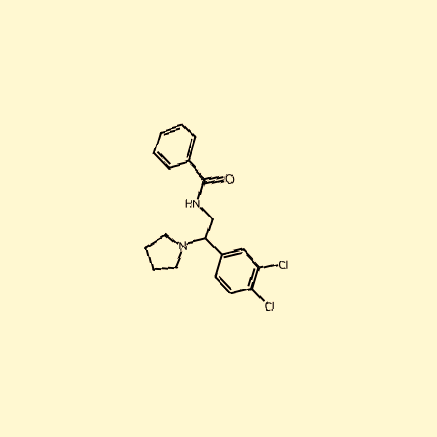 O=C(NCC(c1ccc(Cl)c(Cl)c1)N1CCCC1)c1ccccc1